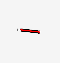 CCOS(=S)(=S)SSSSSSSSSSSSSSSSSSSSSSSSSSSSSSSSSSSSSSSSSSSSSSSSSSSSSSSSSSSSSSSSSSSSSSSSSSSSSSSS